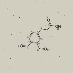 O=Cc1ccc(CCC(=O)O)cc1C=O